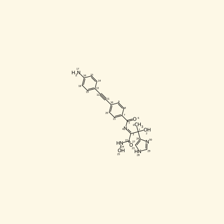 CC(O)(/C(=N\C(=O)c1ccc(C#Cc2ccc(N)cc2)cc1)C(=O)NO)c1c[nH]cn1